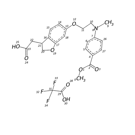 COC(=O)c1ccc(N(C)CCOc2ccc3c(c2)OCC3CC(=O)O)cc1.O=C(O)C(F)(F)F